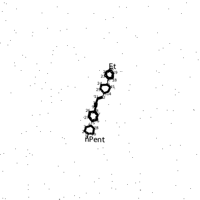 CCCCC[C@H]1CC[C@H](c2ccc(C#CC=C[C@H]3CC[C@H](c4ccc(CC)cc4)CC3)cc2)CC1